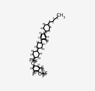 CCCCCC1CCC(c2ccc(C3CCC(C4CCC(C(F)(F)Oc5cc(F)c(OC(F)(F)F)c(F)c5)CC4)CC3)c(F)c2)CC1